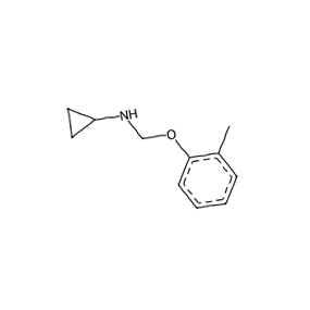 Cc1ccccc1OCNC1CC1